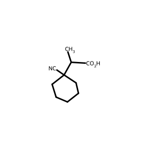 CC(C(=O)O)C1(C#N)CCCCC1